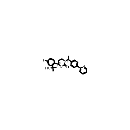 C[C@@H](c1ccc(-c2ccccn2)cc1)N1CC[C@](CC(C)(C)O)(c2ccc(F)cc2)OC1=O